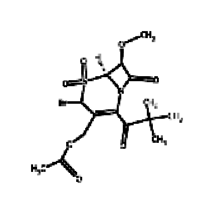 CO[C@H]1C(=O)N2C(C(=O)C(C)(C)C)=C(COC(C)=O)C(Br)S(=O)(=O)[C@@H]12